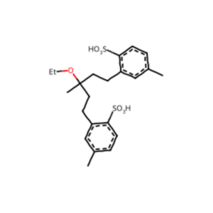 CCOC(C)(CCc1cc(C)ccc1S(=O)(=O)O)CCc1cc(C)ccc1S(=O)(=O)O